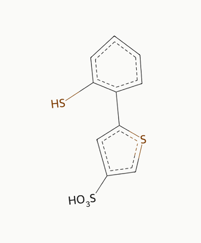 O=S(=O)(O)c1csc(-c2ccccc2S)c1